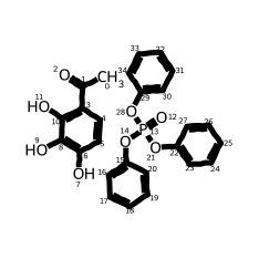 CC(=O)c1ccc(O)c(O)c1O.O=P(Oc1ccccc1)(Oc1ccccc1)Oc1ccccc1